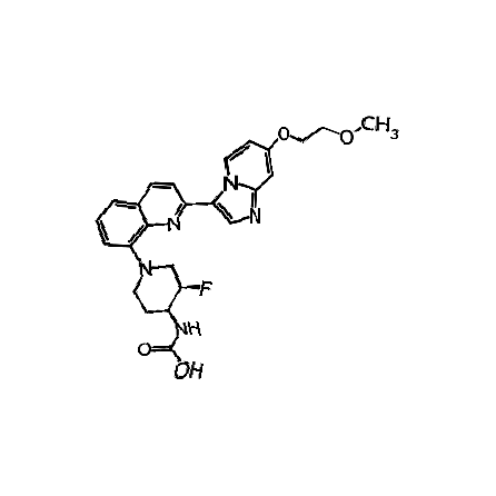 COCCOc1ccn2c(-c3ccc4cccc(N5CC[C@H](NC(=O)O)[C@H](F)C5)c4n3)cnc2c1